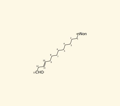 CCCCCCCCCCCCCCCCCCC=CC[C]=O